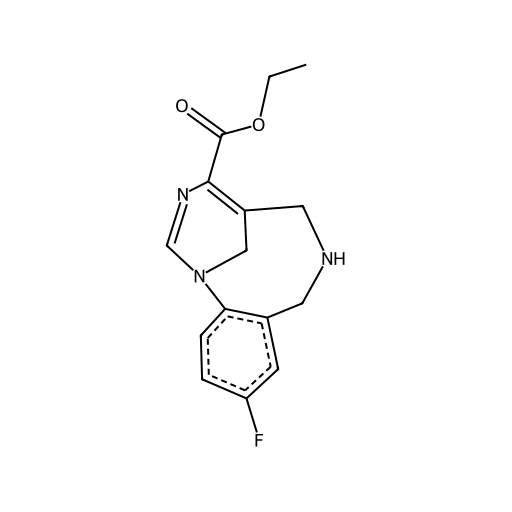 CCOC(=O)C1=C2CNCc3cc(F)ccc3N(C=N1)C2